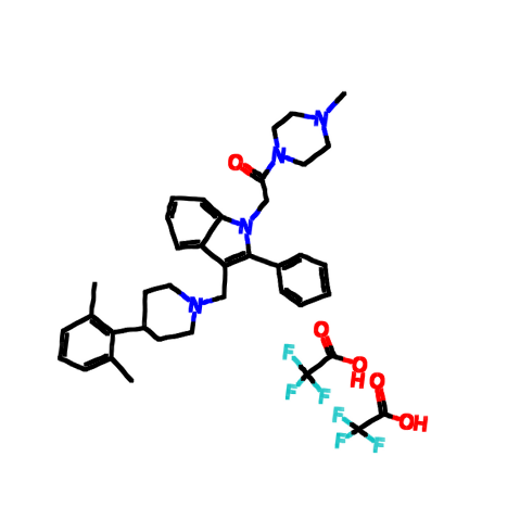 Cc1cccc(C)c1C1CCN(Cc2c(-c3ccccc3)n(CC(=O)N3CCN(C)CC3)c3ccccc23)CC1.O=C(O)C(F)(F)F.O=C(O)C(F)(F)F